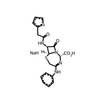 O=C(Cc1cccs1)N[C@H]1C(=O)N2[C@H](C(=O)O)N=C(Nc3ccccc3)CS[C@@H]12.[NaH]